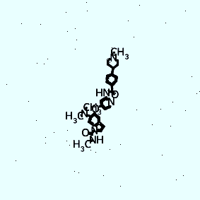 CNC(=O)n1ccc2cc(Oc3ccnc(NC(=O)c4ccc(C5CCN(C)CC5)cc4)c3)c(N(C)C)cc21